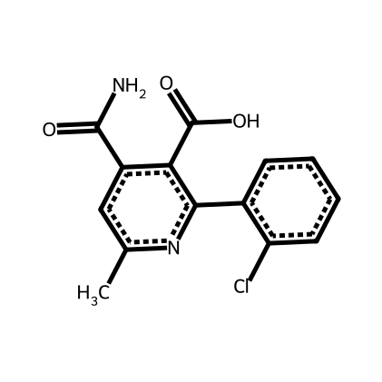 Cc1cc(C(N)=O)c(C(=O)O)c(-c2ccccc2Cl)n1